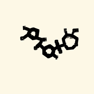 O=C(Nc1ccc(F)c(Cl)c1)c1ccc(F)c(S(=O)(=O)N2CCOC[C@@H](O)[C@H](F)C2)c1